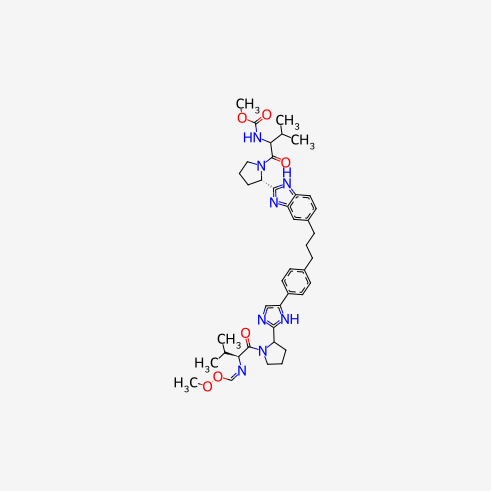 COO/C=N\[C@H](C(=O)N1CCCC1c1ncc(-c2ccc(CCCc3ccc4[nH]c([C@@H]5CCCN5C(=O)C(NC(=O)OC)C(C)C)nc4c3)cc2)[nH]1)C(C)C